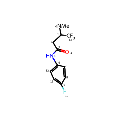 CNC(CC(=O)Nc1ccc(F)cc1)C(F)(F)F